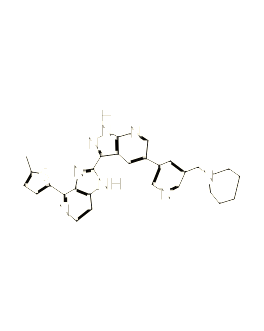 Cc1ccc(-c2nccc3[nH]c(-c4n[nH]c5ncc(-c6cncc(CN7CCCCC7)c6)cc45)nc23)s1